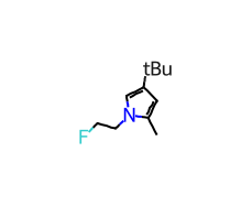 Cc1cc(C(C)(C)C)cn1CCF